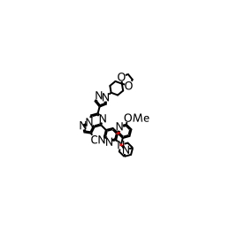 COc1ccc(CN2C3CC2CN(c2ccc(-c4nc(-c5cnn(C6CCC7(CC6)OCCO7)c5)cn5ncc(C#N)c45)cn2)C3)cn1